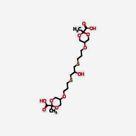 CC1(C(=O)O)OCC(OCCCSCC(O)CSCCCOC2COC(C)(C(=O)O)OC2)CO1